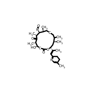 CC1=CN=C(/C=C(\C)[C@H]2C[C@H](C)C(C)CCC[C@H](C)[C@H](N=O)[C@@H](C)C(=O)[C@@H](C)[C@@H](O)CC(=O)O2)CC1